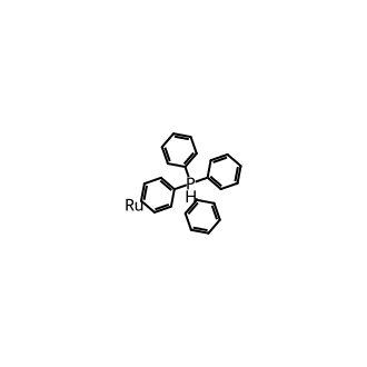 [Ru].c1ccc([PH](c2ccccc2)(c2ccccc2)c2ccccc2)cc1